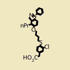 CCCc1c(OCCCCSc2ccc(CC(=O)O)cc2Cl)ccc2c1cnn2-c1ccccc1